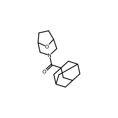 O=C(N1CC2CCC(C1)O2)C12CC3CC(CC(C3)C1)C2